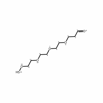 O=CCCOCCOCCOCCOS